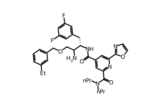 CCCN(CCC)C(=O)c1cc(C(=O)N[C@@H](Cc2cc(F)cc(F)c2)C(N)COCc2cccc(CC)c2)cc(-c2ncco2)n1